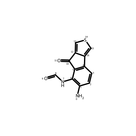 Nc1ccc2c(c1NC=O)C(=O)c1cscc1-2